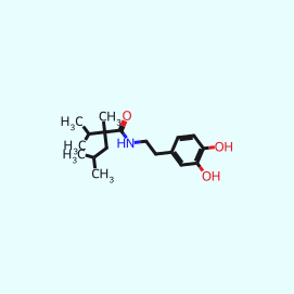 CC(C)CC(C)(C(=O)NCCc1ccc(O)c(O)c1)C(C)C